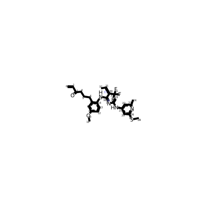 C=CC(=O)CCCc1cc(OC)ccc1NC(=N/C(=C)Nc1cc(C)nc(SC)c1)/C(=C\C)C(F)(F)F